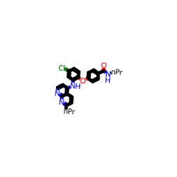 CCCNC(=O)c1ccc(Oc2ccc(Cl)cc2Nc2ccnc3nc(CCC)ccc23)cc1